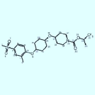 Cc1nc(S(C)(=O)=O)ccc1OC1CCC(OC2CCN(C(=O)OC(C)C(F)(F)F)CC2)CC1